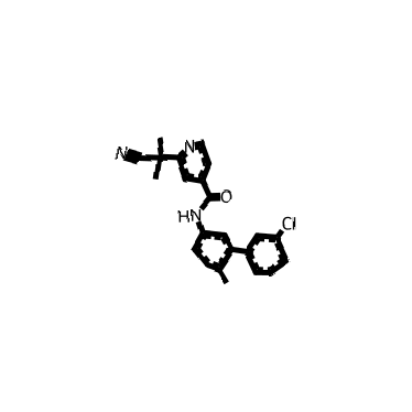 Cc1ccc(NC(=O)c2ccnc(C(C)(C)C#N)c2)cc1-c1cccc(Cl)c1